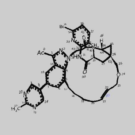 CC(=O)c1nn2c3c(cc(-c4cnc(C)nc4)cc13)CCCC/C=C/COC[C@@]13C[C@@H](C(=O)Nc4nc(Br)ccc4C)N(C(=O)C2)[C@@H]1C3